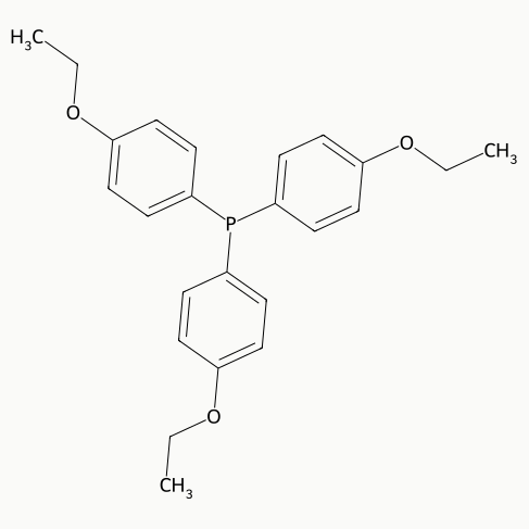 CCOc1ccc(P(c2ccc(OCC)cc2)c2ccc(OCC)cc2)cc1